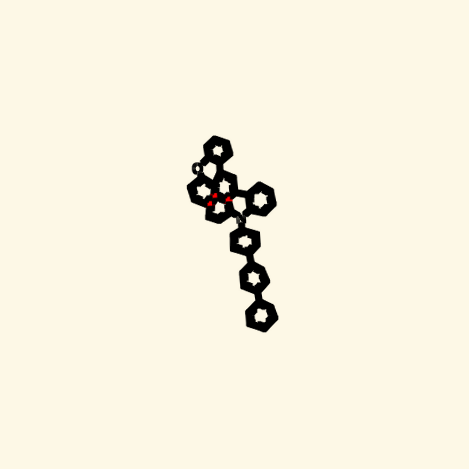 c1ccc(-c2ccc(-c3ccc(N(c4ccccc4)c4ccccc4-c4cc5c6c(cccc6c4)Oc4ccccc4-5)cc3)cc2)cc1